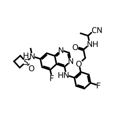 CC(C#N)NC(=O)COc1cc(F)ccc1Nc1ncnc2cc(N(C)[SH]3(=O)CCC3)cc(F)c12